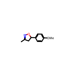 COc1ccc(C2CC(C)=NO2)cc1